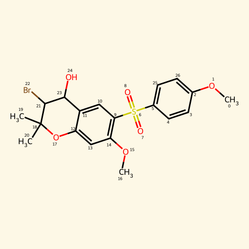 COc1ccc(S(=O)(=O)c2cc3c(cc2OC)OC(C)(C)C(Br)C3O)cc1